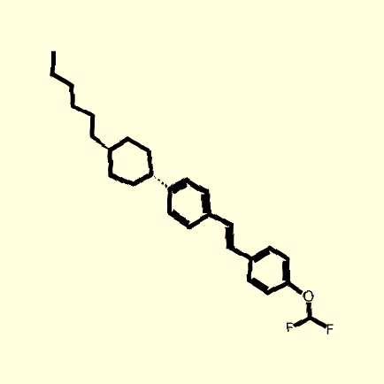 CCCCCC[C@H]1CC[C@H](c2ccc(C=Cc3ccc(OC(F)F)cc3)cc2)CC1